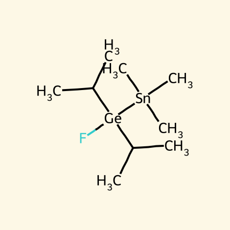 C[CH](C)[Ge]([F])([CH](C)C)[Sn]([CH3])([CH3])[CH3]